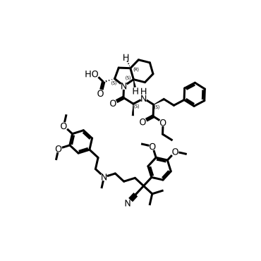 CCOC(=O)[C@H](CCc1ccccc1)N[C@@H](C)C(=O)N1[C@H](C(=O)O)C[C@H]2CCCC[C@@H]21.COc1ccc(CCN(C)CCCC(C#N)(c2ccc(OC)c(OC)c2)C(C)C)cc1OC